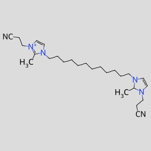 Cc1n(CCCCCCCCCCCCN2C=CN(CCC#N)C2C)cc[n+]1CCC#N